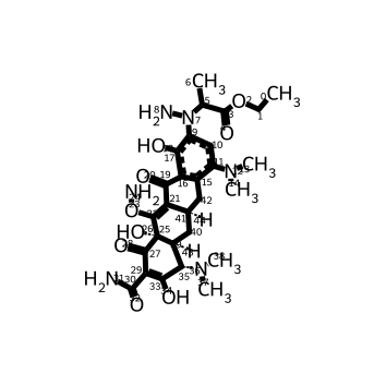 CCOC(=O)C(C)N(N)c1cc(N(C)C)c2c(c1O)C(=O)C1=C(ON)[C@]3(O)C(=O)C(C(N)=O)=C(O)[C@@H](N(C)C)[C@@H]3C[C@@H]1C2